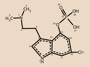 CN(C)CCc1c[nH]c2cc(Cl)cc(OP(=O)(O)O)c12